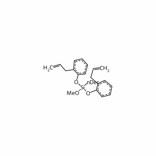 C=CCc1ccccc1O[Si](CCCCCCCCCC)(OC)Oc1ccccc1CC=C